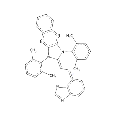 Cc1cccc(C)c1N1C(=C/C=c2/cccc3c2=NC=N3)N(c2c(C)cccc2C)c2nc3ccccc3nc21